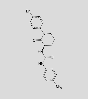 O=C(Nc1ccc(C(F)(F)F)cc1)N[C@@H]1CCCN(c2ccc(Br)cc2)C1=O